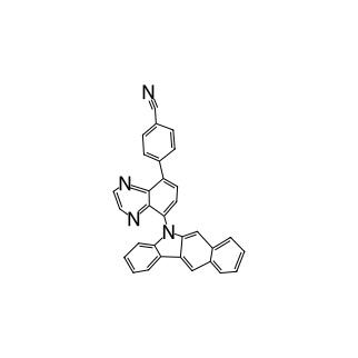 N#Cc1ccc(-c2ccc(-n3c4ccccc4c4cc5ccccc5cc43)c3nccnc23)cc1